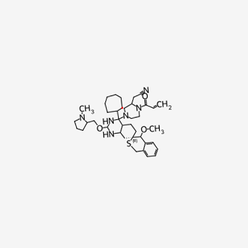 C=CC(=O)N1CCN(C2(C3CCCCCC3)NC(OCC3CCCN3C)NC3C[C@@]4(CCC32)SCc2ccccc2C4OC)CC1CC#N